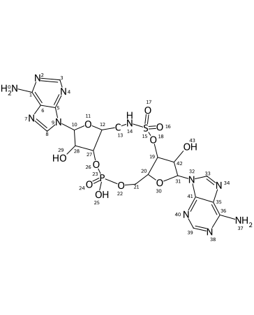 Nc1ncnc2c1ncn2C1OC2CNS(=O)(=O)OC3C(COP(=O)(O)OC2C1O)OC(n1cnc2c(N)ncnc21)C3O